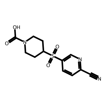 N#Cc1ccc(S(=O)(=O)C2CCN(C(=O)O)CC2)cn1